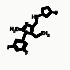 CCc1c(CN[C@H]2CC[C@@H](F)C2)nc(C)n1-c1cc(F)cc(F)c1